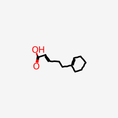 O=C(O)C=CCCC1=CCCCC1